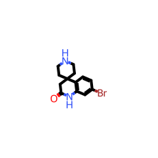 O=C1CC2(CCNCC2)c2ccc(Br)cc2N1